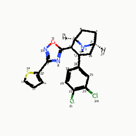 CN1[C@H]2CC[C@@H]1C(c1nc(-c3cccs3)no1)C(c1ccc(Cl)c(Cl)c1)C2